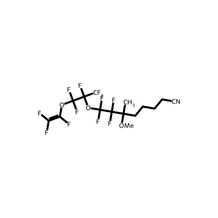 COC(C)(CCCCC#N)C(F)(F)C(F)(F)OC(F)(C(F)(F)F)C(F)(F)OC(F)=C(F)F